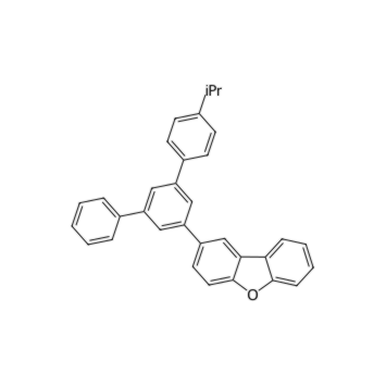 CC(C)c1ccc(-c2cc(-c3ccccc3)cc(-c3ccc4oc5ccccc5c4c3)c2)cc1